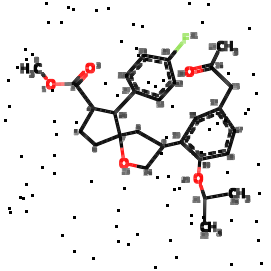 COC(=O)C1CCC2(CC(c3cc(CC(C)=O)ccc3OC(C)C)CO2)C1c1ccc(F)cc1